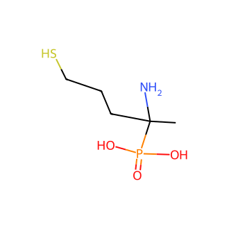 CC(N)(CCCS)P(=O)(O)O